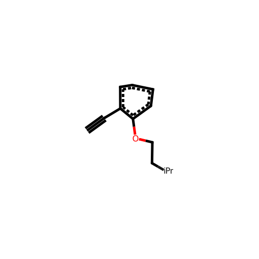 C#Cc1ccccc1OCCC(C)C